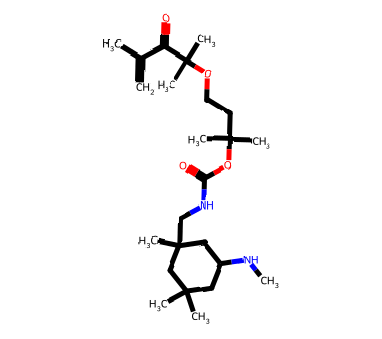 C=C(C)C(=O)C(C)(C)OCCC(C)(C)OC(=O)NCC1(C)CC(NC)CC(C)(C)C1